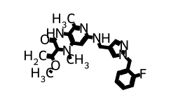 C=C(OC)C1C(=O)Nc2c(cc(NCc3cnn(Cc4ccccc4F)c3)nc2C)N1C